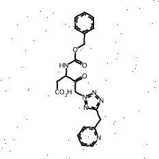 O=C(O)CC(NC(=O)OCc1ccccc1)C(=O)Cn1nnc(Cc2ccccn2)n1